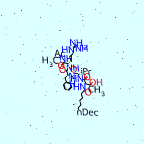 CCCCCCCCCCCCCCCC(=O)NC(C(=O)N[C@H](C(=O)N[C@@H](Cc1ccccc1)C(=O)N[C@@H](CCCNC(=N)N)C(=O)N[C@@H](C)C(C)=O)C(C)C)[C@@H](C)O